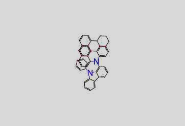 c1ccc(-n2c3ccccc3c3cccc(N(c4ccccc4-c4cccc5cccc(C6CCCCC6)c45)c4cccc5ccccc45)c32)cc1